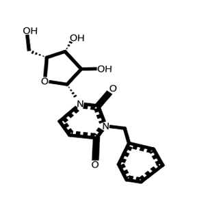 O=c1ccn([C@@H]2O[C@H](CO)[C@H](O)C2O)c(=O)n1Cc1ccccc1